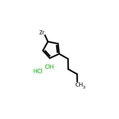 CCCCC1=C[CH]([Zr])C=C1.Cl.Cl